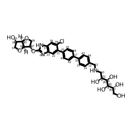 OC[C@@H](O)[C@@H](O)[C@H](O)[C@@H](O)CNCc1ccc(-c2ccc(-c3cc4nc(O[C@@H]5CO[C@H]6[C@@H]5OC[C@H]6O)[nH]c4cc3Cl)cc2)cc1